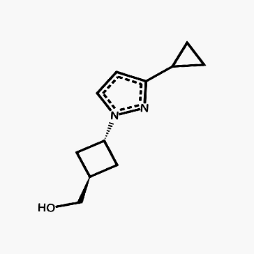 OC[C@H]1C[C@H](n2ccc(C3CC3)n2)C1